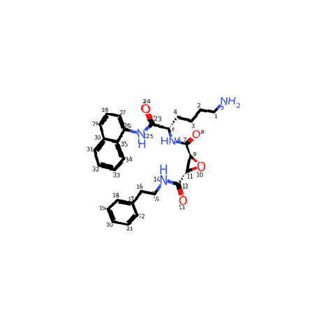 NCCCC[C@H](NC(=O)[C@H]1O[C@@H]1C(=O)NCCc1ccccc1)C(=O)Nc1cccc2ccccc12